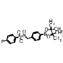 CC1(C)OB(c2ccc(CNS(=O)(=O)c3ccc(F)cc3)cc2)OC1(C)C